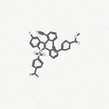 COC(=O)C1CC=C(c2cccc(-c3c(-c4c(C#N)cccc4C#N)c4cc(F)ccc4n3S(=O)(=O)c3ccc(C(F)F)cc3)c2)CC1